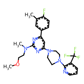 COCCN(C)c1nc(-c2ccc(F)c(C)c2)cc(N2CCN(c3ncccc3C(F)(F)F)CC2)n1